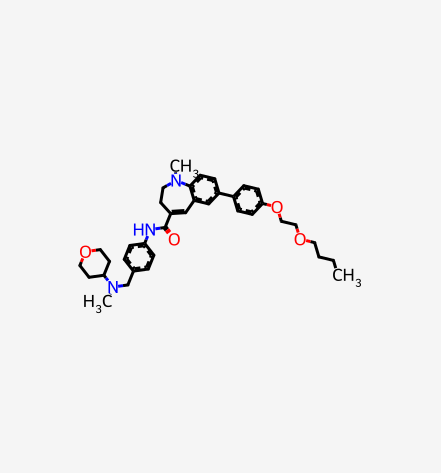 CCCCOCCOc1ccc(-c2ccc3c(c2)C=C(C(=O)Nc2ccc(CN(C)C4CCOCC4)cc2)CCN3C)cc1